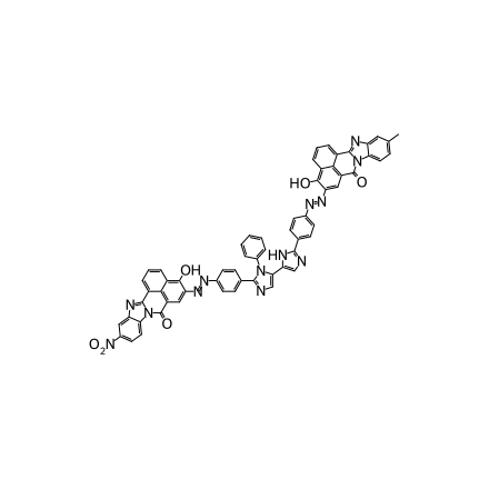 Cc1ccc2c(c1)nc1c3cccc4c(O)c(/N=N/c5ccc(-c6ncc(-c7cnc(-c8ccc(/N=N/c9cc%10c(=O)n%11c%12ccc([N+](=O)[O-])cc%12nc%11c%11cccc(c9O)c%10%11)cc8)n7-c7ccccc7)[nH]6)cc5)cc(c(=O)n21)c43